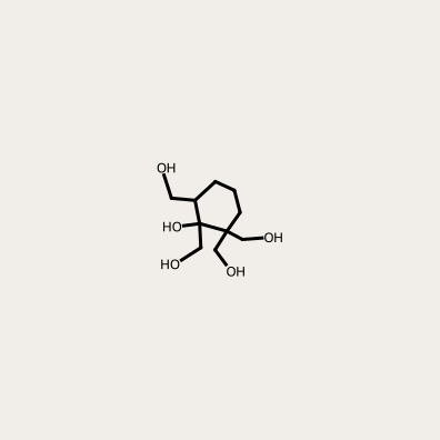 OCC1CCCC(CO)(CO)C1(O)CO